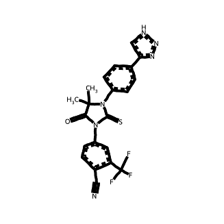 CC1(C)C(=O)N(c2ccc(C#N)c(C(F)(F)F)c2)C(=S)N1c1ccc(-c2c[nH]nn2)cc1